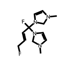 CN1C=CN(C(F)(C=CCF)N2C=CN(C)C2)C1